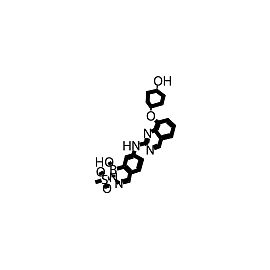 CS(=O)(=O)N1N=Cc2ccc(Nc3ncc4cccc(O[C@H]5CC[C@@H](O)CC5)c4n3)cc2B1O